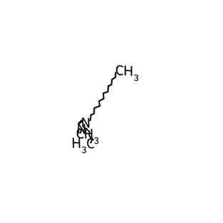 CCCCCCCCCCCCCCCN1C=CN(C)C1CCCC